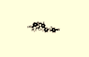 COC(C)Cn1c(Cc2ccc(-c3cccc(OCc4ccc(C#N)cc4F)n3)cc2F)nc2ccc(C(=O)O)cc21